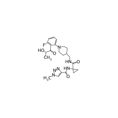 CC(O)C(=O)c1c(F)cccc1N1CCC(CNC(=O)C2(NC(=O)c3cn(C)nn3)CC2)CC1